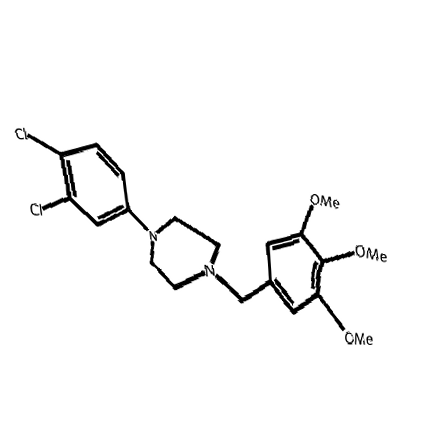 COc1cc(CN2CCN(c3ccc(Cl)c(Cl)c3)CC2)cc(OC)c1OC